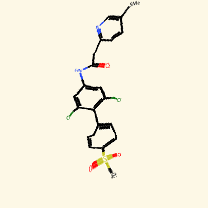 CCS(=O)(=O)c1ccc(-c2c(Cl)cc(NC(=O)Cc3ccc(SC)cn3)cc2Cl)cc1